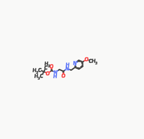 COc1ccc(CNC(=O)CNC(=O)OC(C)(C)C)nc1